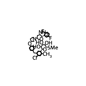 CS[C@H]1O[C@@H](c2cc(Cc3ccc(O[C@@H]4CCN([C@H]5CO[C@H](c6cc(F)ccc6F)[C@@H](N)C5)C4)cc3)c(Cl)cc2C)[C@H](O)[C@@H](O)[C@@H]1O